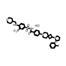 Cl.O=C(NS(=O)(=O)c1ccc(NCC2CCOCC2)c([N+](=O)[O-])c1)c1ccc(N2CCC3(CC2)CC(N2CCC[C@H]2c2ccccc2F)C3)cc1